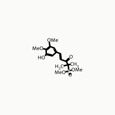 COc1cc(/C=C/C(=O)C(C)(C)P(=O)(OC)OC)cc(O)c1OC